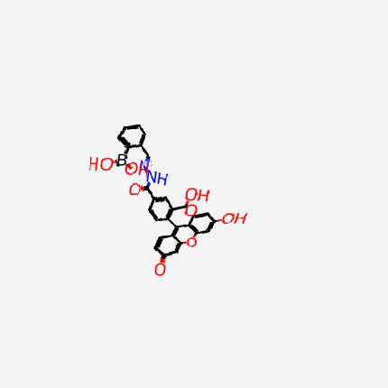 O=C(N/N=C/c1ccccc1B(O)O)c1ccc(-c2c3ccc(=O)cc-3oc3cc(O)ccc23)c(C(=O)O)c1